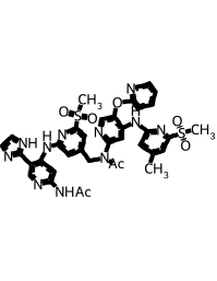 CC(=O)Nc1cc(Nc2cc(CN(C(C)=O)c3cc(Nc4cc(C)cc(S(C)(=O)=O)n4)c(Oc4ccccn4)cn3)cc(S(C)(=O)=O)n2)c(-c2ncc[nH]2)cn1